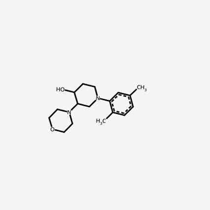 Cc1ccc(C)c(N2CCC(O)C(N3CCOCC3)C2)c1